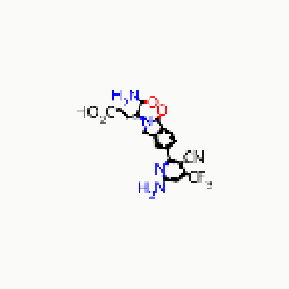 N#Cc1c(C(F)(F)F)cc(N)nc1-c1ccc2c(c1)CN([C@@H](CCC(=O)O)C(N)=O)C2=O